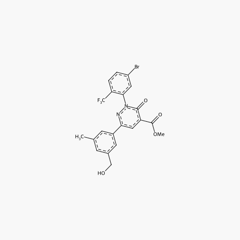 COC(=O)c1cc(-c2cc(C)cc(CO)c2)nn(-c2cc(Br)ccc2C(F)(F)F)c1=O